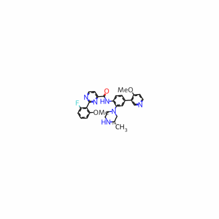 COc1ccncc1-c1ccc(NC(=O)c2ccnc(-c3c(F)cccc3OC)n2)c(N2CCN[C@@H](C)C2)c1